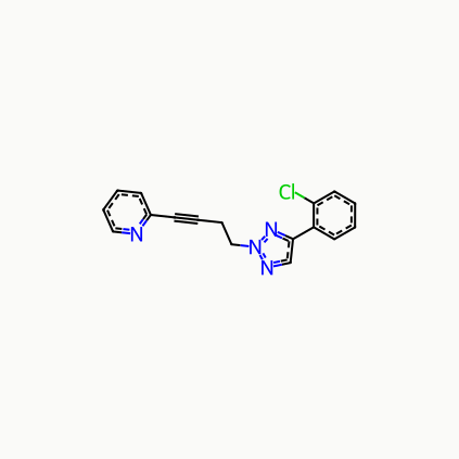 Clc1ccccc1-c1cnn(CCC#Cc2ccccn2)n1